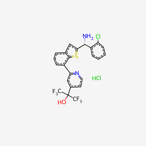 Cl.N[C@@H](c1cc2cccc(-c3cc(C(O)(C(F)(F)F)C(F)(F)F)ccn3)c2s1)c1ccccc1Cl